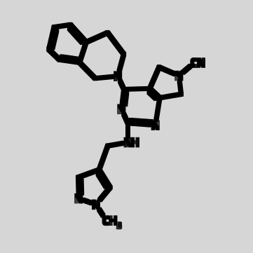 Cn1cc(CNc2nc3c(c(N4CCc5ccccc5C4)n2)CN(C#N)C3)cn1